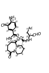 CC(=O)C[C@@H](C=O)NC(=O)[C@@H]1CCCN2C(=O)CC[C@H](NC(=O)c3ccc(N)c(Cl)c3)C(=O)N12